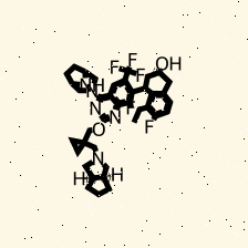 CCc1c(F)ccc2c1C(c1c(C(F)(F)F)cc3c(N4CC5CCC(C4)N5)nc(OCC4(CN5C[C@H]6CCC[C@H]6C5)CC4)nc3c1F)C[C@H](O)C2